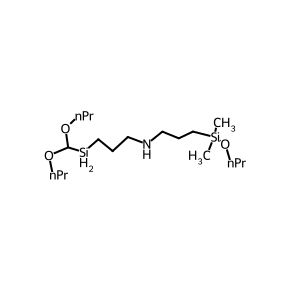 CCCOC(OCCC)[SiH2]CCCNCCC[Si](C)(C)OCCC